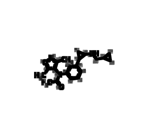 Cc1noc(C)c1N(C(=O)C(F)(F)F)c1cccc(C2CC2NCC2CC2)c1